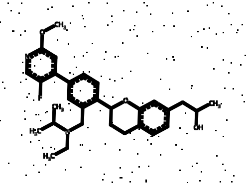 CCN(Cc1cc(-c2cc(OC)ncc2F)ccc1C1CCc2ccc(CC(C)O)cc2O1)C(C)C